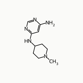 CN1CCC(Nc2cc(N)ncn2)CC1